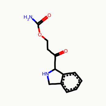 NC(=O)OCCC(=O)C1NCc2ccccc21